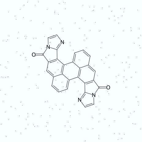 O=c1c2cc3cccc4c3c(c3cccc5cc6c(=O)n7ccnc7c6c4c53)c2c2nccn12